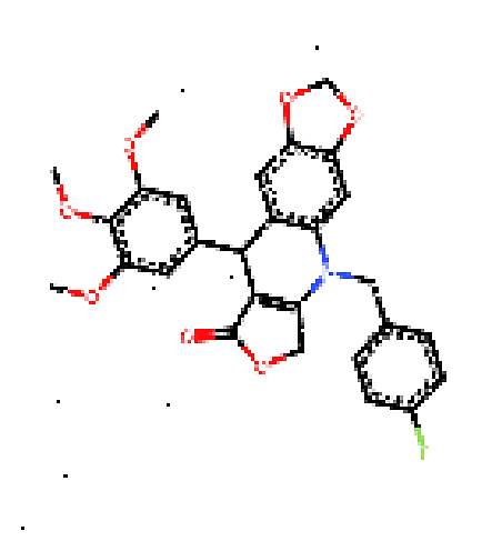 COc1cc(C2C3=C(COC3=O)N(Cc3ccc(F)cc3)c3cc4c(cc32)OCO4)cc(OC)c1OC